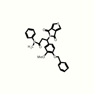 COc1cc(C(CC(=O)N(C)c2ccccc2)N2C(=O)c3cscc3C2=O)ccc1OCc1ccccc1